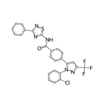 O=C(Nc1nc(-c2ccccc2)ns1)c1ccc(-c2cc(C(F)(F)F)nn2-c2ccccc2Cl)cc1